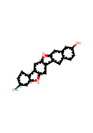 Oc1ccc2cc3c(cc2c1)oc1cc2c(cc13)oc1cc(Cl)ccc12